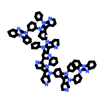 c1ccc(-n2c3ccc(-n4c5cnccc5c5c6ccnc(-c7cnc8c9c%10ncccc%10n(-c%10ccc%11c(c%10)c%10c%12cccnc%12n(-c%12ccccc%12)c%10n%11-c%10cccc(-n%11c%12ccccc%12n%12c%13ccccc%13nc%11%12)c%10)c9n(-c9ccccc9)c8c7)c6n(-c6ccccc6)c54)cc3c3c4ccncc4n(-c4cccc(-n5c6ccccc6n6c7ccccc7nc56)c4)c32)cc1